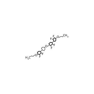 CCCCOc1ccc(-c2ccc(COC3CCC(c4ccc(OCCCC)c(F)c4F)CC3)c(F)c2F)c(F)c1F